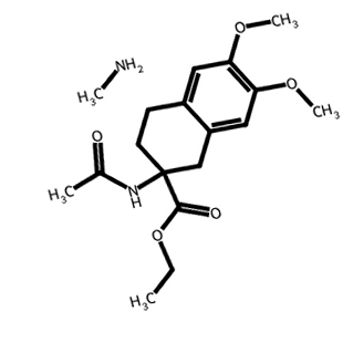 CCOC(=O)C1(NC(C)=O)CCc2cc(OC)c(OC)cc2C1.CN